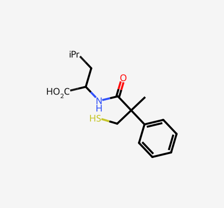 CC(C)CC(NC(=O)C(C)(CS)c1ccccc1)C(=O)O